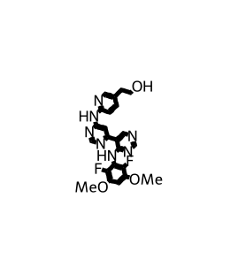 COc1cc(OC)c(F)c(Nc2ncncc2-c2cc(Nc3ccc(CCO)cn3)ncn2)c1F